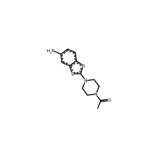 CC(=O)N1CCN(c2nc3ccc(N)cc3s2)CC1